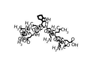 CNC(=O)CN(C[C@H](CCC(=O)O)NC(=O)CN(C[C@H](Cc1c[nH]c2ccccc12)NC(=O)CN(C[C@H](CC(C)C)NC(=O)CN(C[C@H](CCC(=O)O)NC(C)=O)S(=O)(=O)CCN)S(=O)(=O)CCN)S(=O)(=O)CC(C)C)S(=O)(=O)CC(C)C